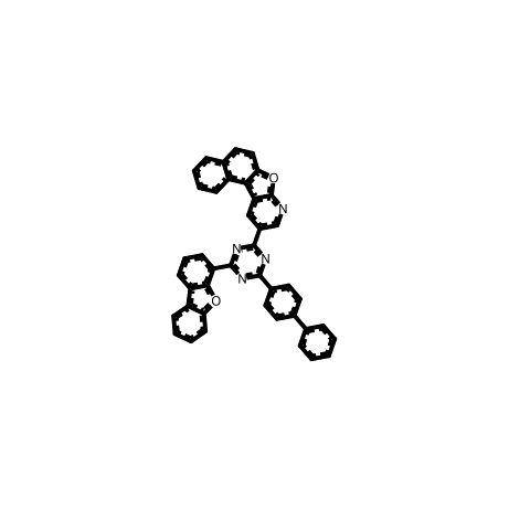 c1ccc(-c2ccc(-c3nc(-c4cnc5oc6ccc7ccccc7c6c5c4)nc(-c4cccc5c4oc4ccccc45)n3)cc2)cc1